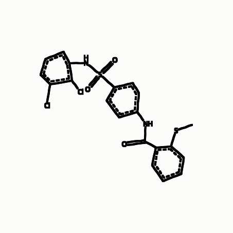 CSc1ccccc1C(=O)Nc1ccc(S(=O)(=O)Nc2cccc(Cl)c2Cl)cc1